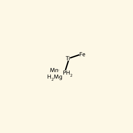 [MgH2].[Mn].[PH2][Ti][Fe]